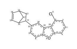 Clc1cccc2oc3ccc(C4CC5C=CC4C5)cc3c12